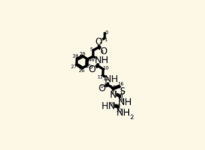 CCOC(=O)CC(NC(=O)CCNC(=O)c1csc(NC(=N)N)n1)c1ccccc1